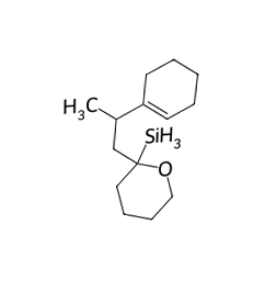 CC(CC1([SiH3])CCCCO1)C1=CCCCC1